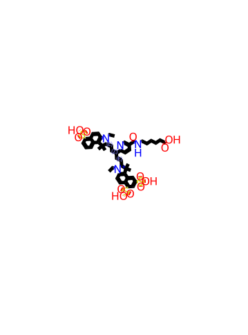 CCN1/C(=C/C=C(/C=C/C2=[N+](CC)c3ccc4c(S(=O)(=O)O)cc(S(=O)(=O)O)cc4c3C2(C)C)c2ccc(C(=O)NCCCCCC(=O)O)cn2)C(C)(C)c2c1ccc1c(S(=O)(=O)O)cccc21